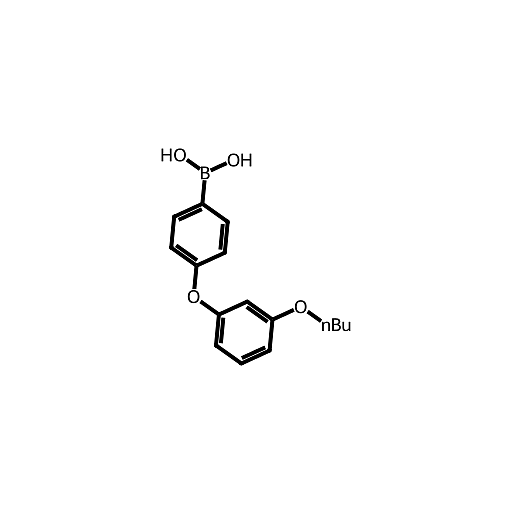 CCCCOc1cccc(Oc2ccc(B(O)O)cc2)c1